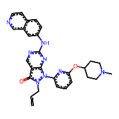 C=CCn1c(=O)c2cnc(Nc3ccc4ccncc4c3)nc2n1-c1cccc(OC2CCN(C)CC2)n1